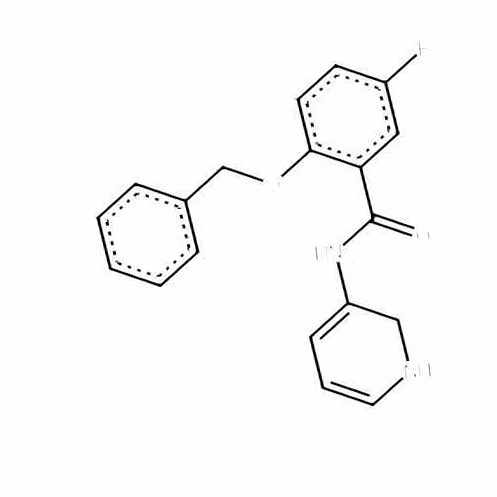 O=C(NC1=CC=CNC1)c1cc(F)ccc1OCc1ccccc1